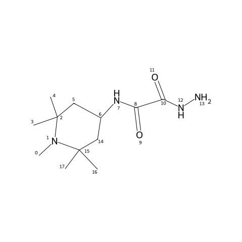 CN1C(C)(C)CC(NC(=O)C(=O)NN)CC1(C)C